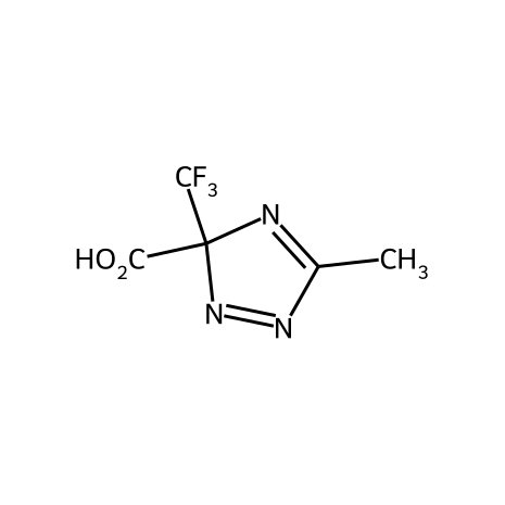 CC1=NC(C(=O)O)(C(F)(F)F)N=N1